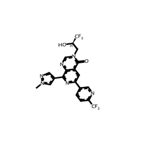 Cn1cc(-c2nc(-c3ccc(C(F)(F)F)nc3)cc3c(=O)n(C[C@@H](O)C(F)(F)F)cnc23)cn1